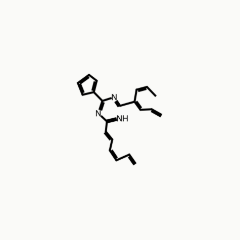 C=C/C=C\C=C\C(=N)\N=C(/N=C/C(/C=C\C)=C/C=C)C1=CC=C=C1